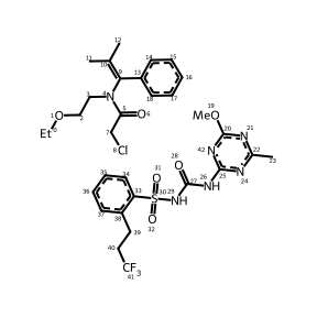 CCOCCN(C(=O)CCl)C(=C(C)C)c1ccccc1.COc1nc(C)nc(NC(=O)NS(=O)(=O)c2ccccc2CCC(F)(F)F)n1